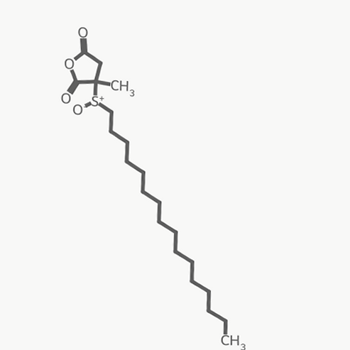 CCCCCCCCCCCCCCCC[S+]([O-])C1(C)CC(=O)OC1=O